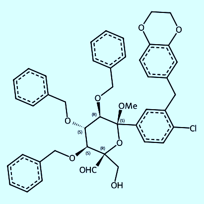 CO[C@@]1(c2ccc(Cl)c(Cc3ccc4c(c3)OCCO4)c2)O[C@](C=O)(CO)[C@@H](OCc2ccccc2)[C@H](OCc2ccccc2)[C@H]1OCc1ccccc1